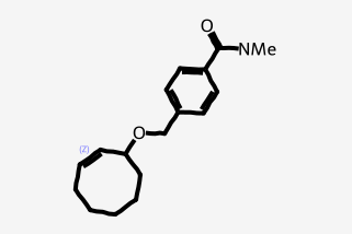 CNC(=O)c1ccc(COC2/C=C\CCCCC2)cc1